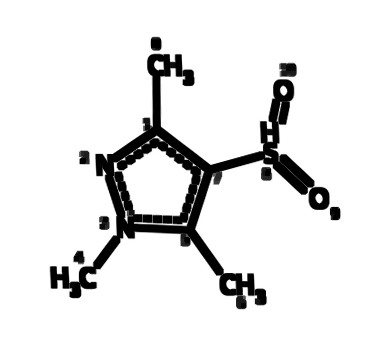 Cc1nn(C)c(C)c1[SH](=O)=O